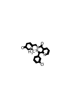 CN1CC(=O)CC=C1Cn1nc(-c2cccc(Cl)c2)c2ncccc2c1=O